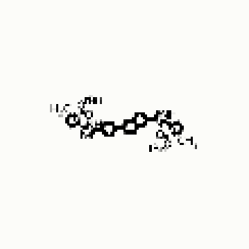 C[C@H]1CCC(c2nc(-c3ccc4cc(-c5ccc(-c6cnc([C@@H]7CC[C@H](C)N7C(=O)OC(C)(C)C)[nH]6)cc5)ccc4c3)c[nH]2)N1C(=O)OC(C)(C)C